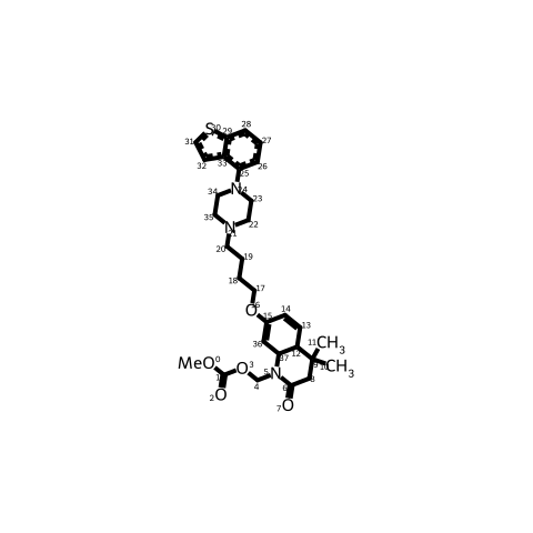 COC(=O)OCN1C(=O)CC(C)(C)C2C=CC(OCCCCN3CCN(c4cccc5sccc45)CC3)=CC21